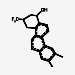 Cc1cc2ccc3c4c(ccc3c2cc1C)C(O)CC(C(F)(F)F)C4